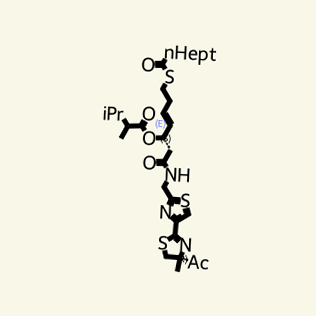 CCCCCCCC(=O)SCC/C=C/[C@H](CC(=O)NCc1nc(C2=N[C@](C)(C(C)=O)CS2)cs1)OC(=O)C(C)C(C)C